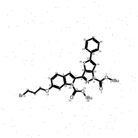 CC(C)(C)OC(=O)n1nc(-c2cc3ccc(OCCCBr)cc3n2C(=O)OC(C)(C)C)c2sc(-c3ccccc3)cc21